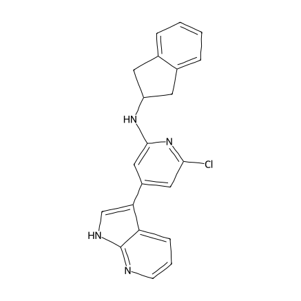 Clc1cc(-c2c[nH]c3ncccc23)cc(NC2Cc3ccccc3C2)n1